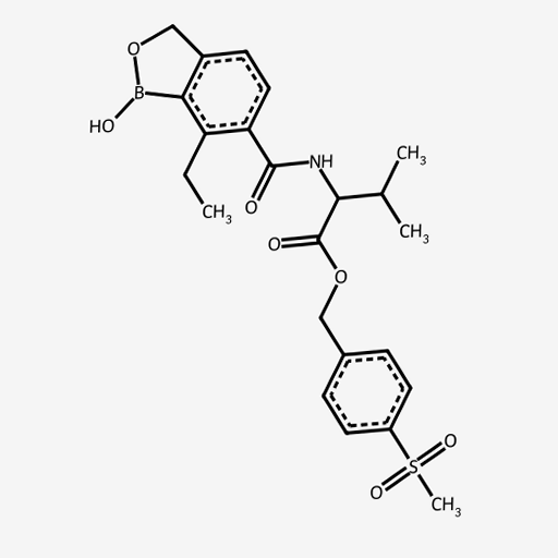 CCc1c(C(=O)NC(C(=O)OCc2ccc(S(C)(=O)=O)cc2)C(C)C)ccc2c1B(O)OC2